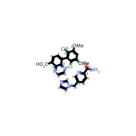 COc1cc(OC)c(Cl)c(-c2ccc(C(=O)O)c3nccnc23)c1Cl.NC(=O)c1ccc(Cn2ccnc2)cn1